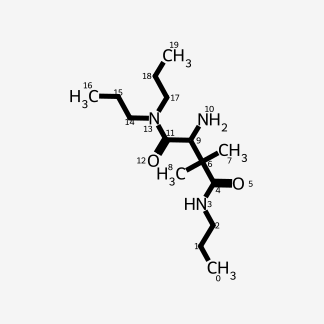 CCCNC(=O)C(C)(C)C(N)C(=O)N(CCC)CCC